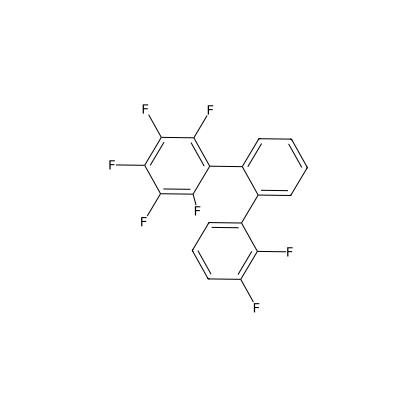 Fc1cccc(-c2ccccc2-c2c(F)c(F)c(F)c(F)c2F)c1F